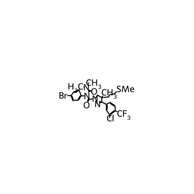 CSCCCC1(C)CN(C(=O)N(C(=O)N(C)C)c2ccc(Br)cc2)N=C1c1ccc(C(F)(F)F)c(Cl)c1